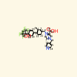 Cc1cc(CN2CCN(Cc3ccncc3)C[C@@H]2C(=O)O)ccc1-c1ccc(C(O)(C(F)(F)F)C(F)(F)F)cc1